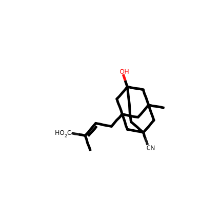 CC(=CCC12CC3(C)CC(O)(CC(C#N)(C3)C1)C2)C(=O)O